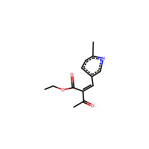 CCOC(=O)C(=Cc1ccc(C)nc1)C(C)=O